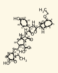 CCOc1cccc2[nH]c(C(=O)NC(C(=O)NC3C(=O)N4C(C(=O)O)=C(CSc5nnc(O)c(=O)n5CC)CS[C@H]34)c3ccc(O)cc3)nc12